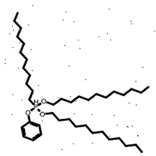 CCCCCCCCCCCCO[PH](CCCCCCCCCCCC)(OCCCCCCCCCCCC)Oc1ccccc1